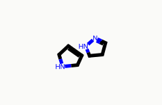 C1=CCNC1.C1=NNCC1